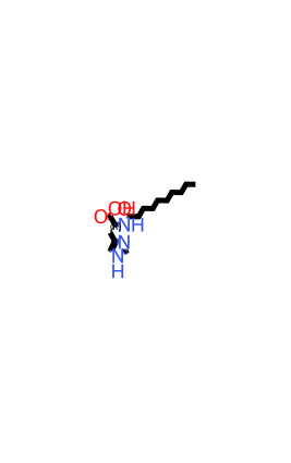 CCCCCCCCCC(=O)N[C@H](Cc1c[nH]cn1)C(=O)O